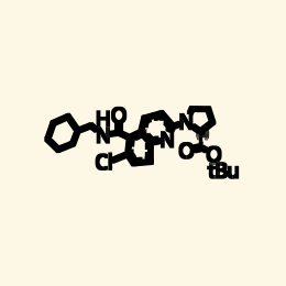 CC(C)(C)OC(=O)[C@H]1CCCN1c1ccc2c(C(=O)NCC3CCCCC3)c(Cl)ccc2n1